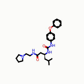 CC(C)C[C@@H](CC(=O)NCCN1CCCC1)NC(=O)Nc1ccc(Oc2ccccc2)cc1